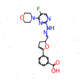 O=C(O)c1cccc(C2=CCC(/C=N/Nc3ncc(F)c(N4CCOCC4)n3)O2)c1